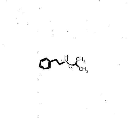 CC(C)ONCCc1ccccc1